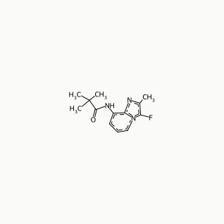 Cc1nc2c(NC(=O)C(C)(C)C)cccn2c1F